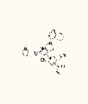 C=CC(=O)N1CCN(c2c(C#N)c(OC[C@@H]3CCCN3C)nc3c2CCN(c2ccnc4c2CCCC4)C3)C[C@@H]1CC#N